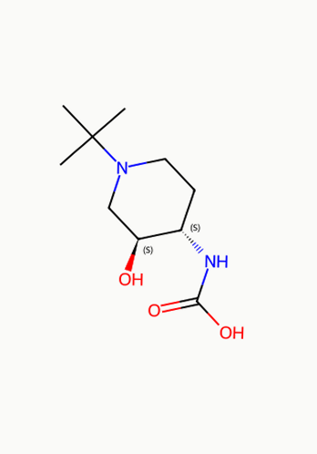 CC(C)(C)N1CC[C@H](NC(=O)O)[C@@H](O)C1